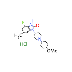 CO[C@H]1CC[C@@H](N2CCC(n3c(=O)[nH]c4c(F)cc(C)cc43)CC2)CC1.Cl